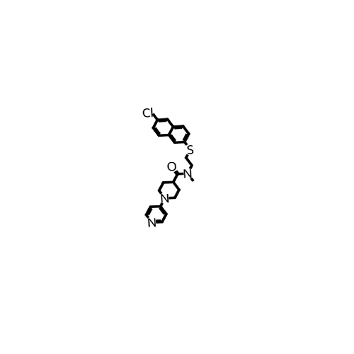 CN(CCSc1ccc2cc(Cl)ccc2c1)C(=O)C1CCN(c2ccncc2)CC1